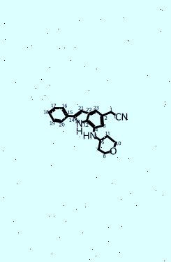 N#CCc1cc(NC2CCOCC2)c2[nH]c(-c3ccccc3)cc2c1